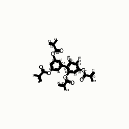 C=C(C)C(=O)Oc1cc(OC(=O)C(=C)C)cc(-c2c(OC(=O)C(=C)C)cc(OC(=O)C(=C)C)c(F)c2F)c1